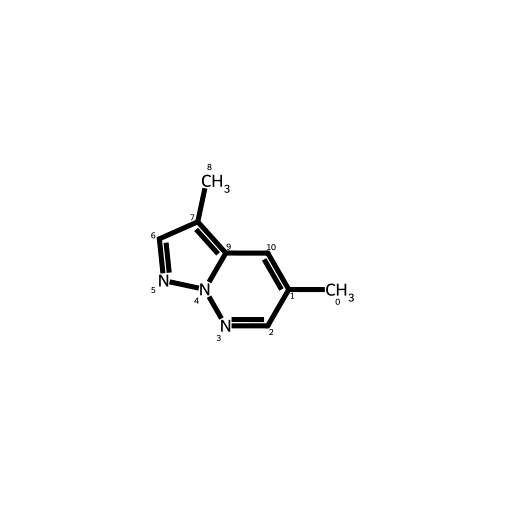 Cc1cnn2ncc(C)c2c1